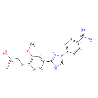 COc1cc(-c2nc(-c3ccc(C(=N)N)cc3)c[nH]2)ccc1CCC(=O)O